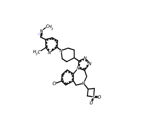 C/N=C\c1ccc(N2CCC(c3nnc4n3-c3ccc(Cl)cc3CN(C3CS(=O)(=O)C3)C4)CC2)nc1C